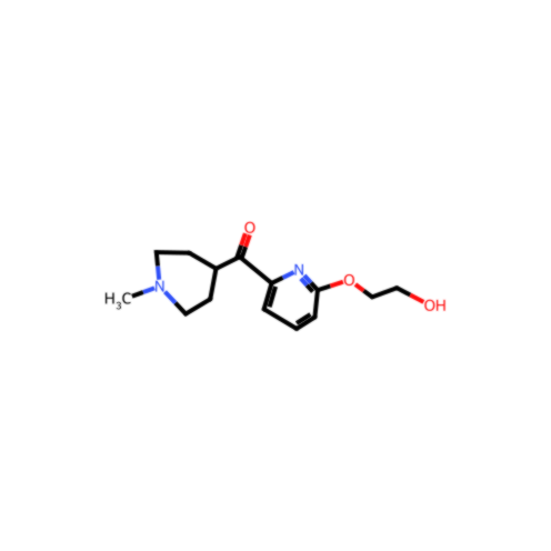 CN1CCC(C(=O)c2cccc(OCCO)n2)CC1